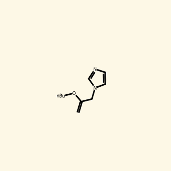 C=C(Cn1ccnc1)OCCCC